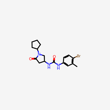 Cc1cc(NC(=O)NC2CC(=O)N(C3CCCC3)C2)ccc1Br